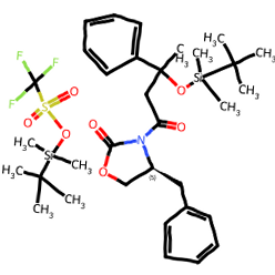 CC(C)(C)[Si](C)(C)OS(=O)(=O)C(F)(F)F.CC(CC(=O)N1C(=O)OC[C@@H]1Cc1ccccc1)(O[Si](C)(C)C(C)(C)C)c1ccccc1